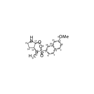 COc1ccc2ccc(S(=O)(=O)N(C)[C@H]3CCNC3=O)cc2c1